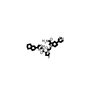 NC(=O)c1cn(CC(=O)N2C[C@H](F)C[C@H]2C(=O)Nc2nc(-c3ccc4c(c3)CCCC4)cs2)c2ccc(-c3ccnnc3)cc12